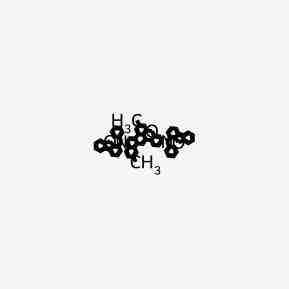 Cc1ccc2c(N(c3ccccc3)c3cccc4c3oc3ccccc34)cc3c4cc(C)cc5c4c(cc3c2c1)-c1ccc(N(c2ccccc2)c2cccc3c2oc2ccccc23)cc1O5